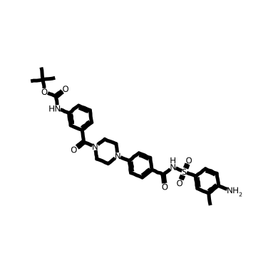 Cc1cc(S(=O)(=O)NC(=O)c2ccc(N3CCN(C(=O)c4cccc(NC(=O)OC(C)(C)C)c4)CC3)cc2)ccc1N